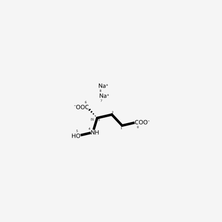 O=C([O-])CC[C@H](NO)C(=O)[O-].[Na+].[Na+]